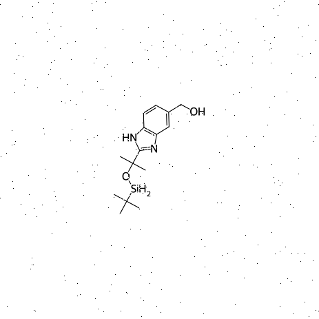 CC(C)(C)[SiH2]OC(C)(C)c1nc2cc(CO)ccc2[nH]1